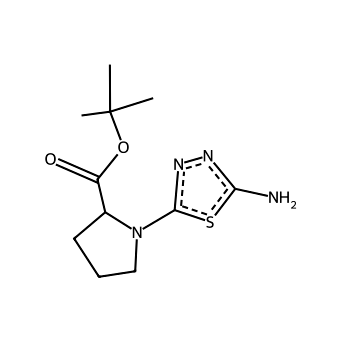 CC(C)(C)OC(=O)C1CCCN1c1nnc(N)s1